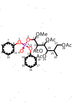 COC(OP(=O)(Oc1ccccc1)Oc1ccccc1)C(OC(C)=O)C(OC(C)=O)C(OC(C)=O)C(C)COC(C)=O